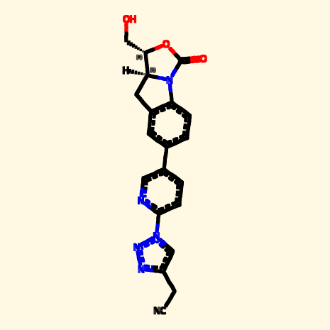 N#CCc1cn(-c2ccc(-c3ccc4c(c3)C[C@H]3[C@H](CO)OC(=O)N43)cn2)nn1